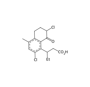 CCC(CC(=O)O)c1c(Cl)cc(C)c2c1C(=O)C(Cl)CC2